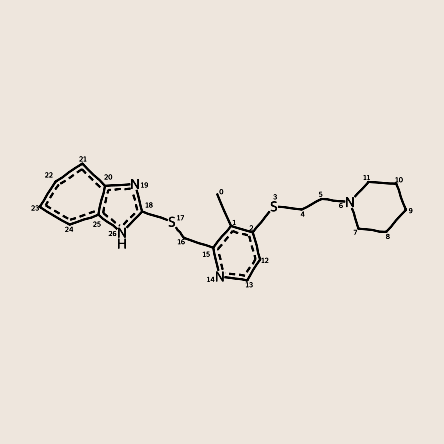 Cc1c(SCCN2CCCCC2)ccnc1CSc1nc2ccccc2[nH]1